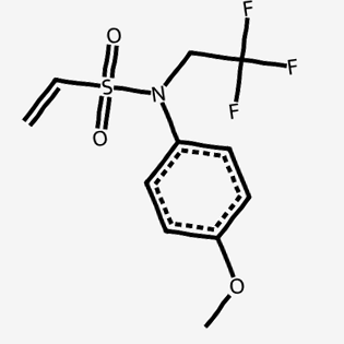 C=CS(=O)(=O)N(CC(F)(F)F)c1ccc(OC)cc1